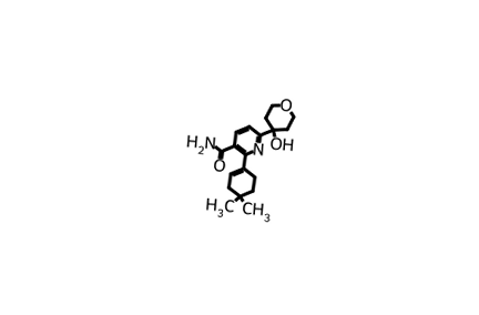 CC1(C)CC=C(c2nc(C3(O)CCOCC3)ccc2C(N)=O)CC1